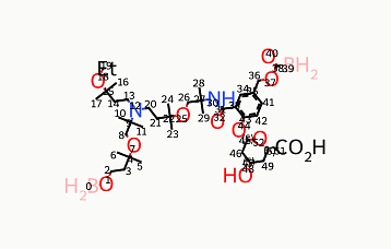 BOCCC(C)(C)OCC(C)(C)N(CCC(C)(C)OCC)CCC(C)(C)OCC(C)(C)NC(=O)c1cc(COC(B)=O)ccc1O[C@H]1C[C@@H](O)C[C@@H](C(=O)O)O1